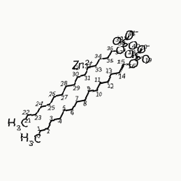 CCCCCCCCCCCCCCCCOS(=O)(=O)[O-].CCCCCCCCCCCCCCCCOS(=O)(=O)[O-].[Zn+2]